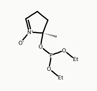 CCOP(OCC)O[C@]1(C)CCC=[N+]1[O-]